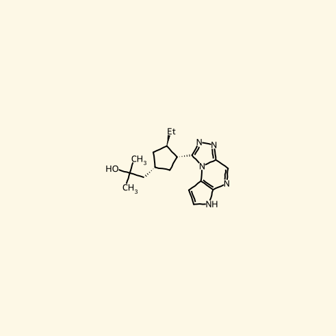 CC[C@@H]1C[C@@H](CC(C)(C)O)C[C@H]1c1nnc2cnc3[nH]ccc3n12